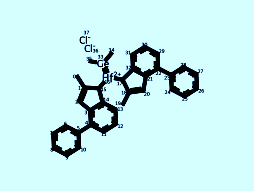 CC1=Cc2c(-c3ccccc3)cccc2[CH]1[Hf+2]([CH]1C(C)=Cc2c(-c3ccccc3)cccc21)=[Ge]([CH3])[CH3].[Cl-].[Cl-]